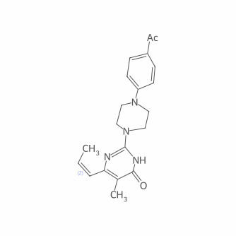 C/C=C\c1nc(N2CCN(c3ccc(C(C)=O)cc3)CC2)[nH]c(=O)c1C